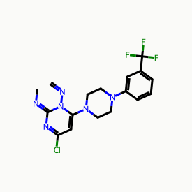 C=Nn1c(N2CCN(c3cccc(C(F)(F)F)c3)CC2)cc(Cl)n/c1=N/C